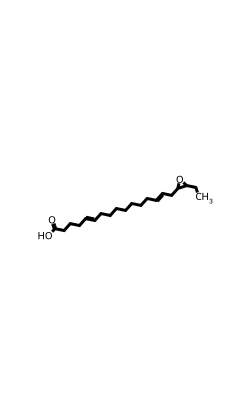 CCC1OC1CC=CCCCCCCCC=CCCCC(=O)O